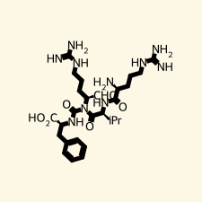 CC(C)[C@H](NC(=O)[C@@H](N)CCCNC(=N)N)C(=O)N(C(=O)N[C@@H](Cc1ccccc1)C(=O)O)[C@H](C=O)CCCNC(=N)N